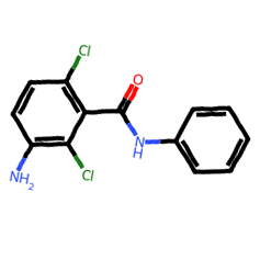 Nc1ccc(Cl)c(C(=O)Nc2ccccc2)c1Cl